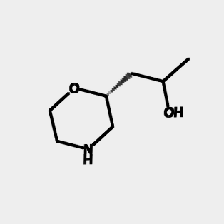 CC(O)C[C@@H]1CNCCO1